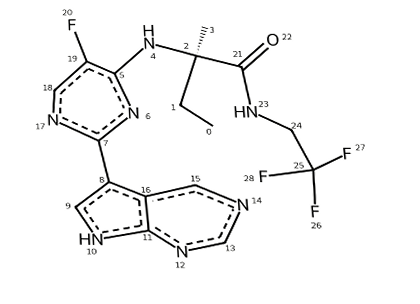 CC[C@@](C)(Nc1nc(-c2c[nH]c3ncncc23)ncc1F)C(=O)NCC(F)(F)F